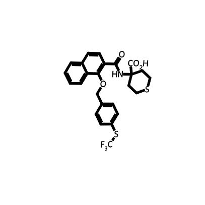 O=C(NC1(C(=O)O)CCSCC1)c1ccc2ccccc2c1OCc1ccc(SC(F)(F)F)cc1